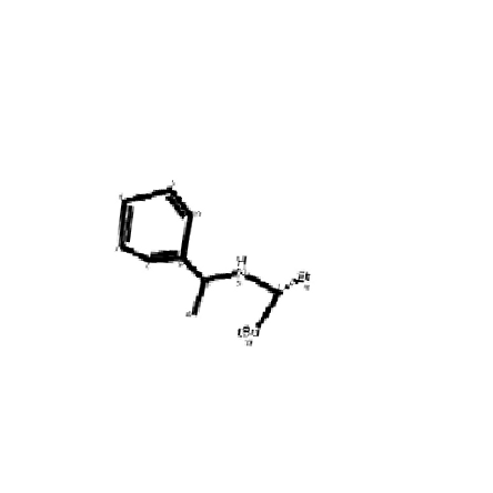 CC[C@@H](NC(C)c1ccccc1)C(C)(C)C